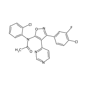 CC(=O)N(c1ccccc1Cl)c1onc(-c2ccc(Cl)c(F)c2)c1-c1ccncn1